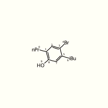 CCCc1cc(Br)c(C(C)CC)cc1O